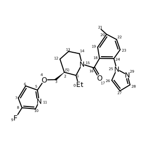 CCC1[C@@H](COc2ccc(F)cn2)CCCN1C(=O)c1cc(C)ccc1-n1cccn1